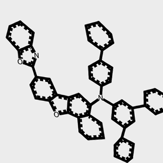 c1ccc(-c2ccc(N(c3cc(-c4ccccc4)cc(-c4ccccc4)c3)c3cc4c5cc(-c6nc7ccccc7o6)ccc5oc4c4ccccc34)cc2)cc1